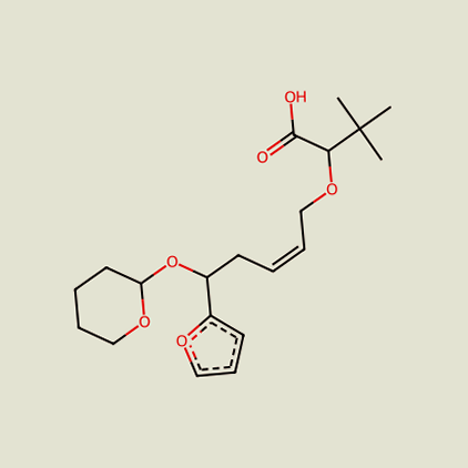 CC(C)(C)C(OC/C=C\CC(OC1CCCCO1)c1ccco1)C(=O)O